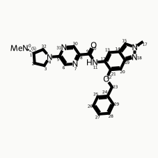 CN[C@H]1CCN(c2cnc(C(=O)Nc3cc4cn(C)nc4cc3OCc3ccccc3)cn2)C1